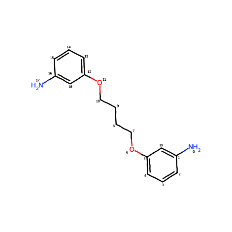 Nc1cccc(OCCCCOc2cccc(N)c2)c1